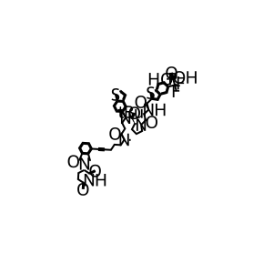 CN(CCCC#Cc1cccc2c1CN(C1CCC(=O)NC1=O)C2=O)C(=O)CCN(C(=O)[C@@H]1CCCN1C(=O)[C@@H](NC(=O)c1cc2cc(C(F)(F)P(=O)(O)O)ccc2s1)C(C)(C)C)c1ccc2sccc2c1